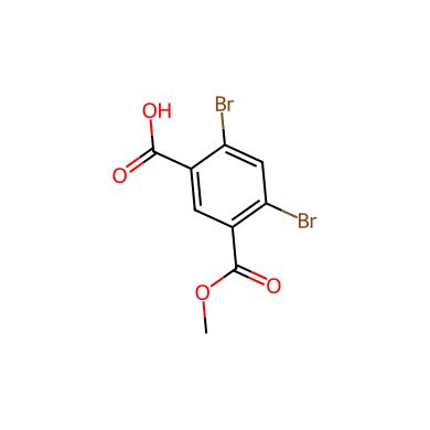 COC(=O)c1cc(C(=O)O)c(Br)cc1Br